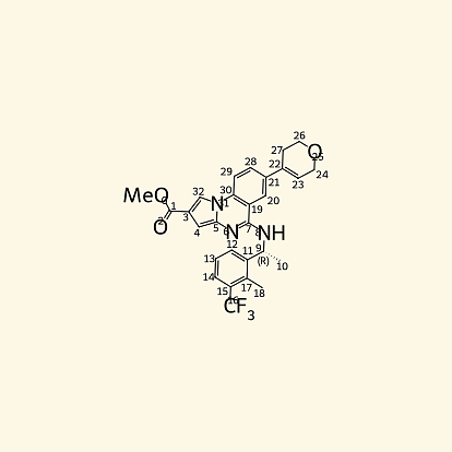 COC(=O)c1cc2nc(N[C@H](C)c3cccc(C(F)(F)F)c3C)c3cc(C4=CCOCC4)ccc3n2c1